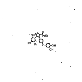 CCNC(=O)c1nnc(-c2cc(C(C)C)c(O)cc2O)n1-c1ccc(Oc2ccc(O)c(O)c2)cc1